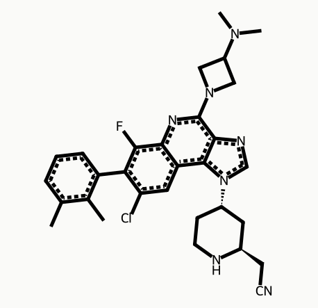 Cc1cccc(-c2c(Cl)cc3c(nc(N4CC(N(C)C)C4)c4ncn([C@H]5CCN[C@H](CC#N)C5)c43)c2F)c1C